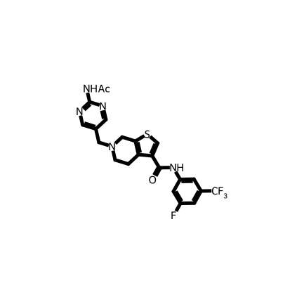 CC(=O)Nc1ncc(CN2CCc3c(C(=O)Nc4cc(F)cc(C(F)(F)F)c4)csc3C2)cn1